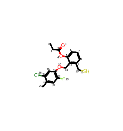 CCC(=O)Oc1cccc(CS)c1COc1cc(Cl)c(C)cc1F